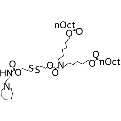 CCCCCCCCC(=O)OCCCCCCN(CCCCCCOC(=O)CCCCCCCC)C(=O)OCCSSCCOC(=O)NCCN1CCCCCC1